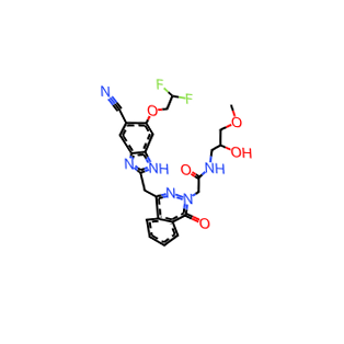 COCC(O)CNC(=O)Cn1nc(Cc2nc3cc(C#N)c(OCC(F)F)cc3[nH]2)c2ccccc2c1=O